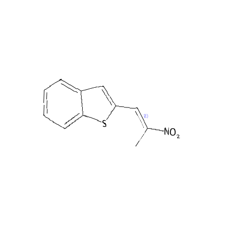 C/C(=C\c1cc2ccccc2s1)[N+](=O)[O-]